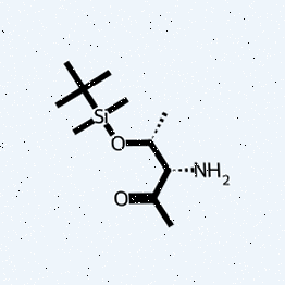 CC(=O)[C@@H](N)[C@@H](C)O[Si](C)(C)C(C)(C)C